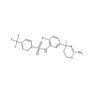 CC1(c2ccc(F)c(NS(=O)(=O)C3C=CC(C(F)(F)F)=CC3)c2)CCSC(N)=N1